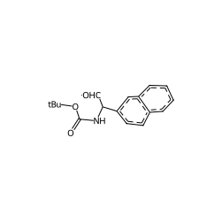 CC(C)(C)OC(=O)NC([C]=O)c1ccc2ccccc2c1